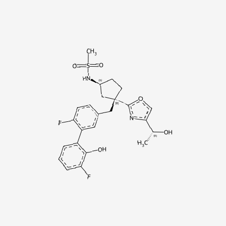 C[C@@H](O)c1coc([C@@]2(Cc3ccc(F)c(-c4cccc(F)c4O)c3)CC[C@H](NS(C)(=O)=O)C2)n1